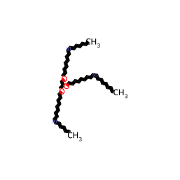 CCCCCC/C=C\CCCCCCCCOCC(COCCCCCCCC/C=C\CCCCCC)OCCCCCCCC/C=C\CCCCCCCC